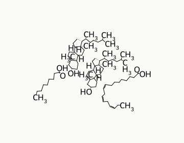 CC(C)CCC[C@@H](C)[C@H]1CC[C@H]2[C@@H]3CC=C4C[C@@H](O)CC[C@]4(C)[C@H]3CC[C@]12C.CC(C)CCC[C@@H](C)[C@H]1CC[C@H]2[C@@H]3CC=C4C[C@@H](O)CC[C@]4(C)[C@H]3CC[C@]12C.CC/C=C\C/C=C\C/C=C\CCCCCCCC(=O)O.CCCCCCCCC(=O)O